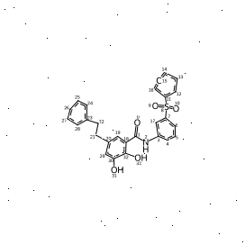 O=C(Nc1cccc(S(=O)(=O)c2ccccc2)c1)c1cc(CCc2ccccc2)cc(O)c1O